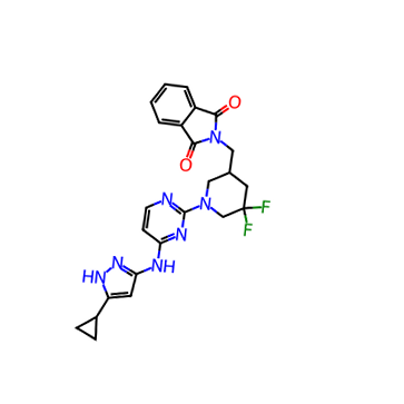 O=C1c2ccccc2C(=O)N1CC1CN(c2nccc(Nc3cc(C4CC4)[nH]n3)n2)CC(F)(F)C1